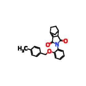 Cc1ccc(COc2ccccc2N2C(=O)C3=C4CCC(C4)C3C2=O)cc1